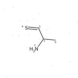 CC(N)[C]=S